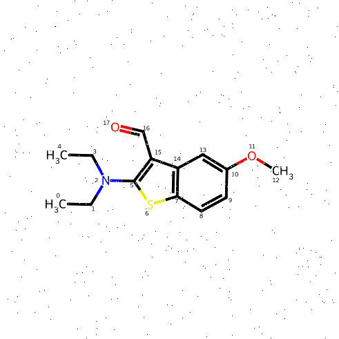 CCN(CC)c1sc2ccc(OC)cc2c1C=O